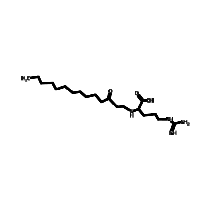 CCCCCCCCCCCC(=O)CCNC(CCCNC(=N)N)C(=O)O